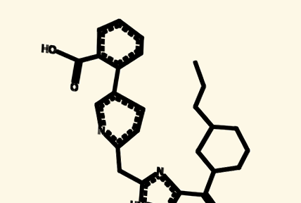 CCCC1CCCC(C(=O)c2n[nH]c(Cc3ccc(-c4ccccc4C(=O)O)cn3)n2)C1